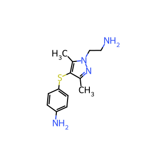 Cc1nn(CCN)c(C)c1Sc1ccc(N)cc1